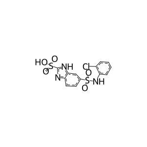 O=S(=O)(O)c1nc2ccc(S(=O)(=O)Nc3ccccc3Cl)cc2[nH]1